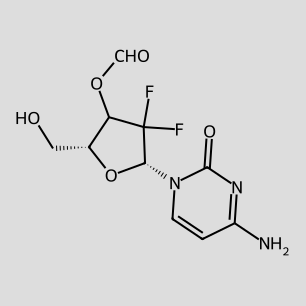 Nc1ccn([C@@H]2O[C@H](CO)C(OC=O)C2(F)F)c(=O)n1